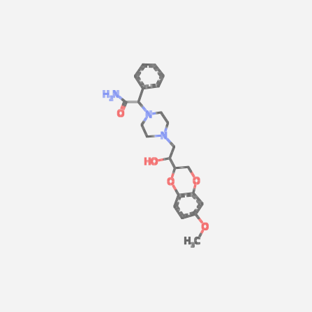 COc1ccc2c(c1)OCC(C(O)CN1CCN(C(C(N)=O)c3ccccc3)CC1)O2